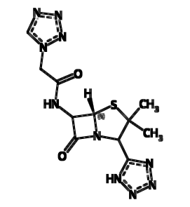 CC1(C)S[C@H]2C(NC(=O)Cn3cnnn3)C(=O)N2C1c1nnn[nH]1